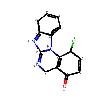 O=C1C=CC(Cl)C2=C1CN=c1nc3c(n12)=CC=CC3